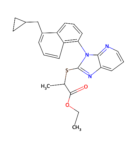 CCOC(=O)C(C)Sc1nc2cccnc2n1-c1cccc2c(CC3CC3)cccc12